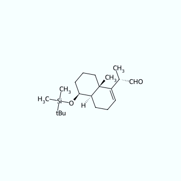 C[C@H](C=O)C1=CCC[C@H]2[C@@H](O[Si](C)(C)C(C)(C)C)CCC[C@]12C